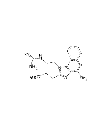 COCCc1nc2c(N)nc3ccccc3c2n1CCNC(=N)N